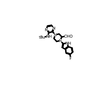 CC(C)(C)Nc1nccnc1N1CCN(c2cc3cc(F)ccc3[nH]2)C(C=O)C1